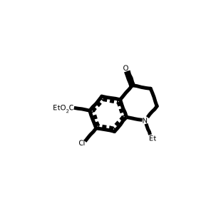 CCOC(=O)c1cc2c(cc1Cl)N(CC)CCC2=O